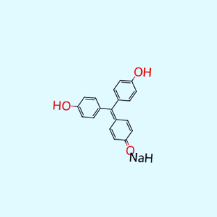 O=C1C=CC(=C(c2ccc(O)cc2)c2ccc(O)cc2)C=C1.[NaH]